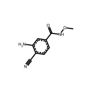 CONC(=O)c1ccc(C#N)c(N)c1